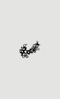 COc1ccc2c3c(cnc2n1)COC(=O)N3C1CC2CN(S(=O)(=O)NC(=O)OC(C)(C)C)CC2C1